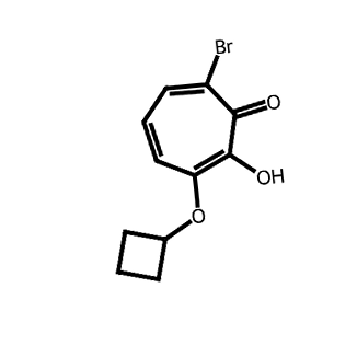 O=c1c(Br)cccc(OC2CCC2)c1O